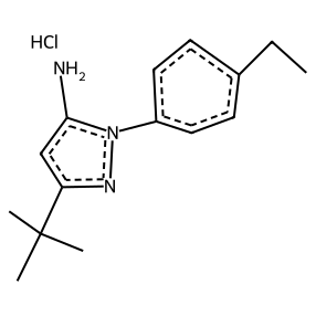 CCc1ccc(-n2nc(C(C)(C)C)cc2N)cc1.Cl